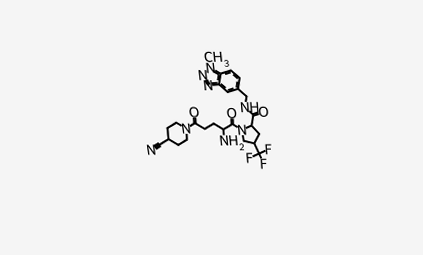 Cn1nnc2cc(CNC(=O)C3CC(C(F)(F)F)CN3C(=O)C(N)CCC(=O)N3CCC(C#N)CC3)ccc21